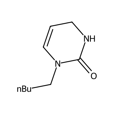 CCCCCN1C=CCNC1=O